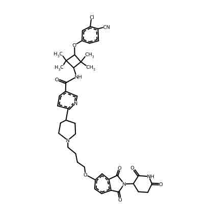 CC1(C)C(NC(=O)c2ccc(C3CCN(CCCCOc4ccc5c(c4)C(=O)N(C4CCC(=O)NC4=O)C5=O)CC3)nc2)C(C)(C)C1Oc1ccc(C#N)c(Cl)c1